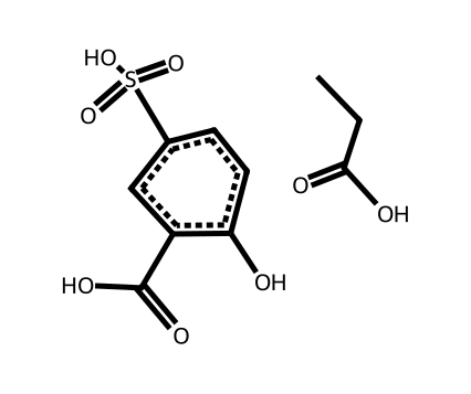 CCC(=O)O.O=C(O)c1cc(S(=O)(=O)O)ccc1O